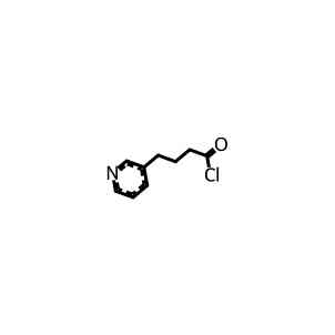 O=C(Cl)CCCc1cccnc1